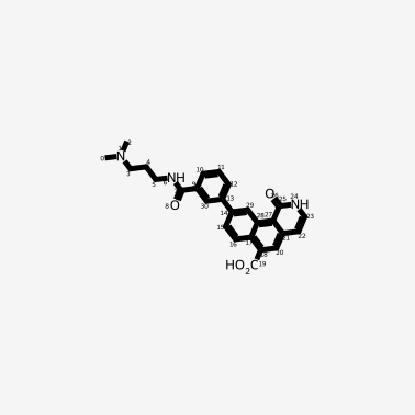 CN(C)CCCNC(=O)c1cccc(-c2ccc3c(C(=O)O)cc4cc[nH]c(=O)c4c3c2)c1